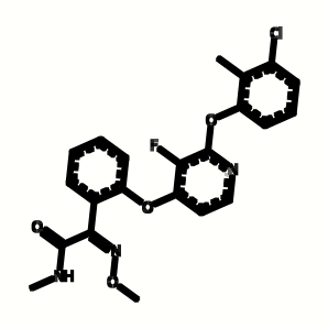 CNC(=O)C(=NOC)c1ccccc1Oc1ccnc(Oc2cccc(Cl)c2C)c1F